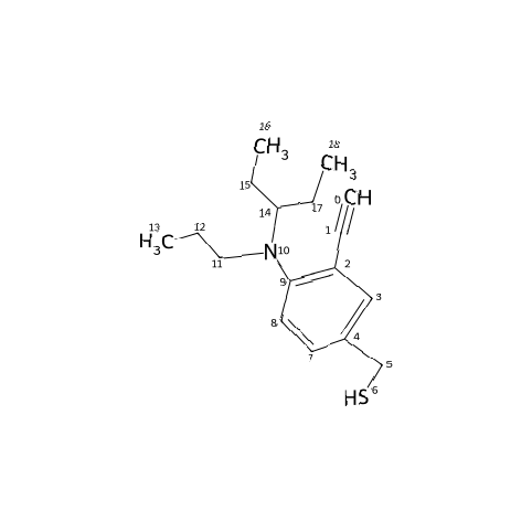 C#Cc1cc(CS)ccc1N(CCC)C(CC)CC